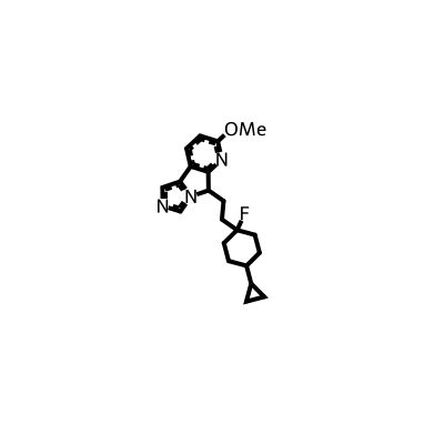 COc1ccc2c(n1)C(CCC1(F)CCC(C3CC3)CC1)n1cncc1-2